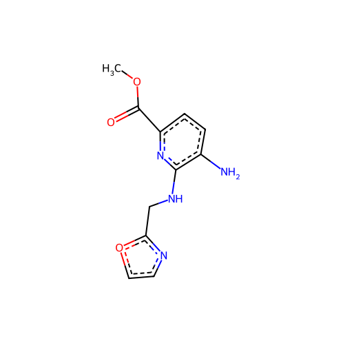 COC(=O)c1ccc(N)c(NCc2ncco2)n1